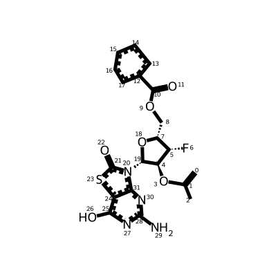 C=C(C)O[C@@H]1[C@@H](F)[C@@H](COC(=O)c2ccccc2)O[C@H]1n1c(=O)sc2c(O)nc(N)nc21